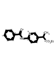 CCOC(=O)C(C)c1ccc(NC(=O)c2ccccc2)nc1